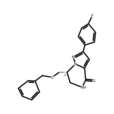 O=C1NC[C@H](COCc2ccccc2)n2nc(-c3ccc(F)cc3)cc21